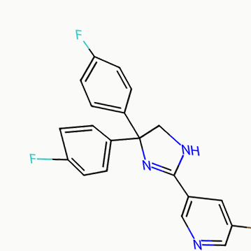 Fc1ccc(C2(c3ccc(F)cc3)CNC(c3cncc(Br)c3)=N2)cc1